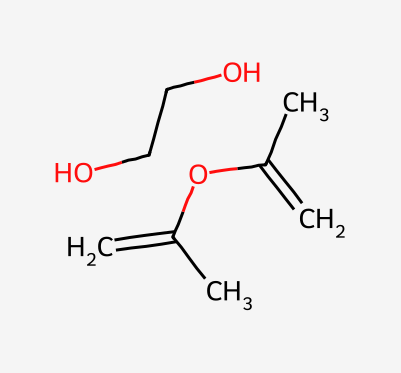 C=C(C)OC(=C)C.OCCO